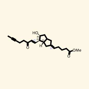 CC#CCCC(=O)/C=C/[C@H]1[C@H](O)CC2C/C(=C\CCCC(=O)OC)C[C@@H]21